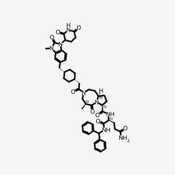 C[C@H]1CN(C(=O)C[C@H]2CC[C@@H](Cc3ccc4c(c3)n(C)c(=O)n4C3CCC(=O)NC3=O)CC2)CC[C@H]2CC[C@@H](C(=O)N[C@@H](CCC(N)=O)C(=O)NC(c3ccccc3)c3ccccc3)N2C1=O